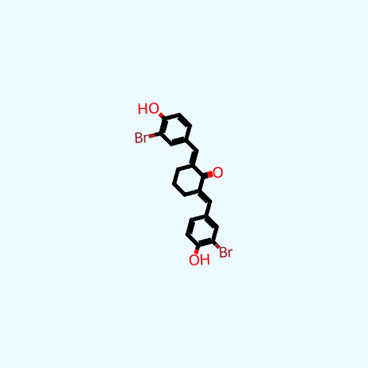 O=C1/C(=C/c2ccc(O)c(Br)c2)CCC/C1=C\c1ccc(O)c(Br)c1